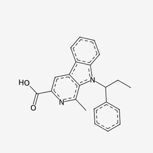 CCC(c1ccccc1)n1c2ccccc2c2cc(C(=O)O)nc(C)c21